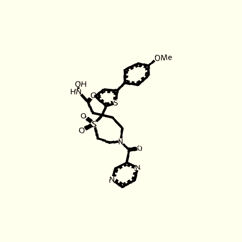 COc1ccc(-c2ccc(C3(CC(=O)NO)CCN(C(=O)c4cnccn4)CCS3(=O)=O)s2)cc1